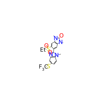 CCS(=O)(=O)c1cc2c(cc1-c1nc3cc(SC(F)(F)F)ccc3n1C)n(C)c(=O)n2C